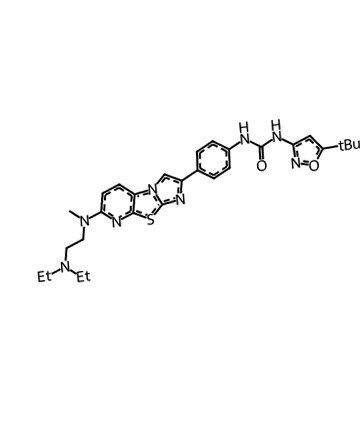 CCN(CC)CCN(C)c1ccc2c(n1)sc1nc(-c3ccc(NC(=O)Nc4cc(C(C)(C)C)on4)cc3)cn12